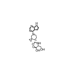 O=C(O)C(CO)NC(=O)[C@H]1CCN(c2ncnc3[nH]ccc23)CC12CC2